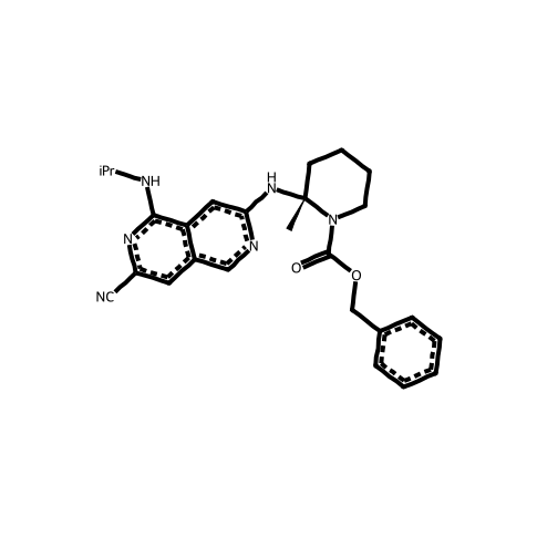 CC(C)Nc1nc(C#N)cc2cnc(N[C@]3(C)CCCCN3C(=O)OCc3ccccc3)cc12